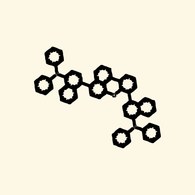 c1ccc(N(c2ccccc2)c2ccc(-c3cccc4c3Oc3ccc(-c5ccc(N(c6ccccc6)c6ccccc6)c6ccccc56)c5cccc-4c35)c3ccccc23)cc1